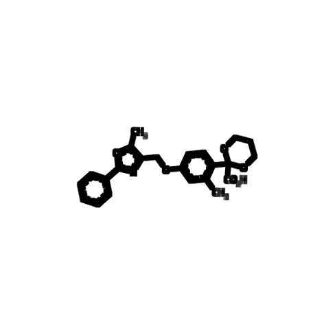 Cc1cc(OCc2nc(-c3ccccc3)oc2C)ccc1C1(C(=O)O)OCCCO1